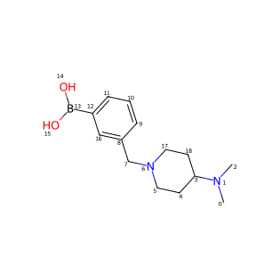 CN(C)C1CCN(Cc2cccc(B(O)O)c2)CC1